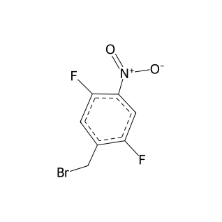 O=[N+]([O-])c1cc(F)c(CBr)cc1F